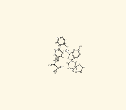 Fc1ccc(C2(CCNCc3ccccc3-c3ccncc3)CCOC3(CCCC3)C2)cc1.O=C(O)C(=O)O